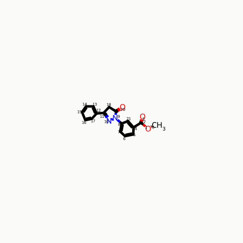 COC(=O)c1cccc(N2N=C(c3ccccc3)CC2=O)c1